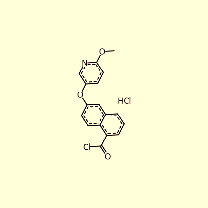 COc1ccc(Oc2ccc3c(C(=O)Cl)cccc3c2)cn1.Cl